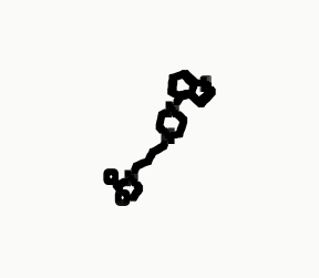 O=C1OCCN1CCCCN1CCN(c2cccc3sccc23)CC1